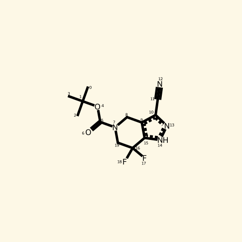 CC(C)(C)OC(=O)N1Cc2c(C#N)n[nH]c2C(F)(F)C1